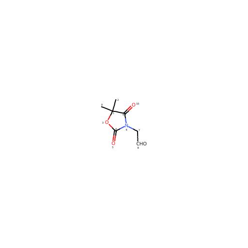 CC1(C)OC(=O)N(CC=O)C1=O